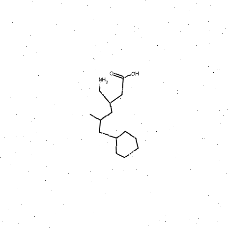 CC(CC1CCCCC1)CC(CN)CC(=O)O